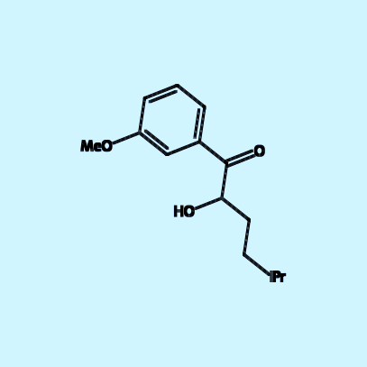 COc1cccc(C(=O)C(O)CCC(C)C)c1